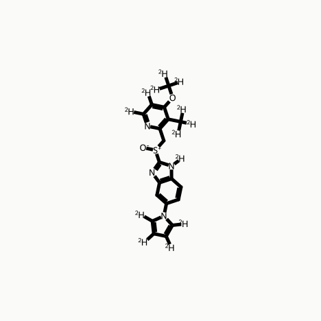 [2H]c1nc(C[S+]([O-])c2nc3cc(-n4c([2H])c([2H])c([2H])c4[2H])ccc3n2[2H])c(C([2H])([2H])[2H])c(OC([2H])([2H])[2H])c1[2H]